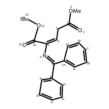 COC(=O)C/C=C(/N=C(c1ccccc1)c1ccccc1)C(=O)OC(C)(C)C